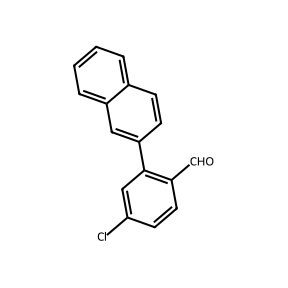 O=Cc1ccc(Cl)cc1-c1ccc2ccccc2c1